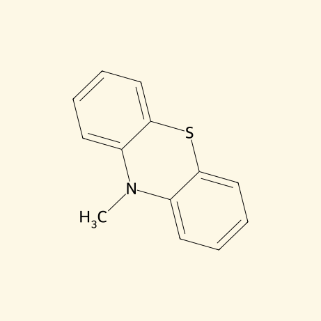 CN1c2ccccc2Sc2ccccc21